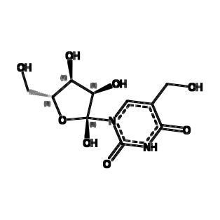 O=c1[nH]c(=O)n([C@]2(O)O[C@H](CO)[C@@H](O)[C@H]2O)cc1CO